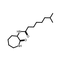 CC(C)CCCCCC(=O)NC1CCCCNC1=O